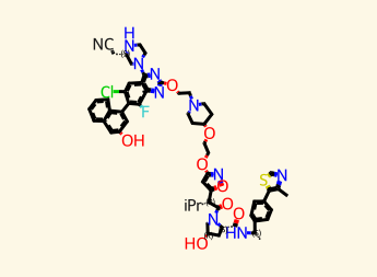 Cc1ncsc1-c1ccc([C@H](C)NC(=O)[C@@H]2C[C@@H](O)CN2C(=O)[C@@H](c2cc(OCCOC3CCN(CCOc4nc(N5CCN[C@@H](CC#N)C5)c5cc(Cl)c(-c6cc(O)cc7ccccc67)c(F)c5n4)CC3)no2)C(C)C)cc1